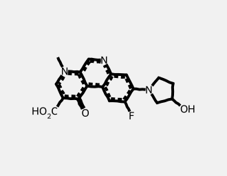 Cn1cc(C(=O)O)c(=O)c2c3cc(F)c(N4CCC(O)C4)cc3ncc21